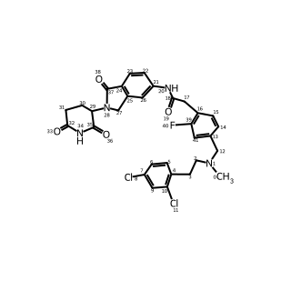 CN(CCc1ccc(Cl)cc1Cl)Cc1ccc(CC(=O)Nc2ccc3c(c2)CN(C2CCC(=O)NC2=O)C3=O)c(F)c1